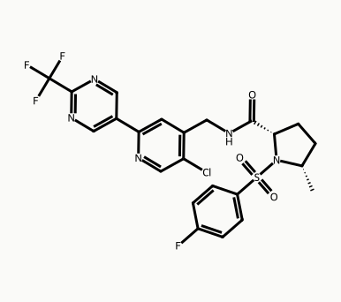 C[C@H]1CC[C@@H](C(=O)NCc2cc(-c3cnc(C(F)(F)F)nc3)ncc2Cl)N1S(=O)(=O)c1ccc(F)cc1